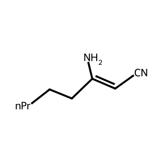 CCCCCC(N)=CC#N